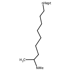 [CH2]CCCCCCCCCCCCCC(C)NC